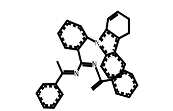 C=C(/N=C(\N=C(/C)c1ccccc1)c1ccccc1-n1c2c(c3ccccc31)CCC=C2)c1ccccc1